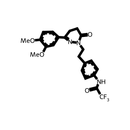 COc1ccc(C2=NN(CCc3ccc(NC(=O)C(F)(F)F)cc3)C(=O)CC2)cc1OC